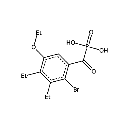 CCOc1cc(C(=O)P(=O)(O)O)c(Br)c(CC)c1CC